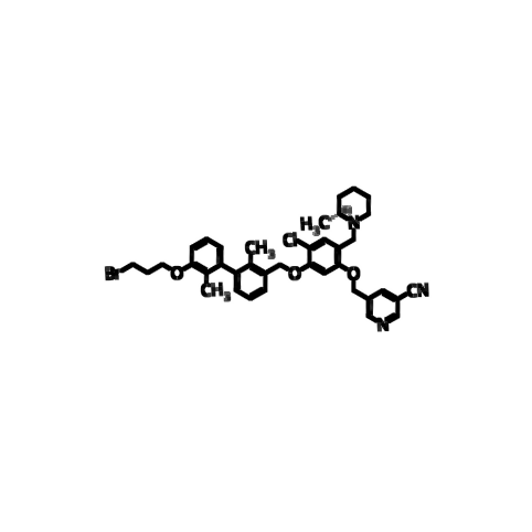 Cc1c(COc2cc(OCc3cncc(C#N)c3)c(CN3CCCC[C@H]3C)cc2Cl)cccc1-c1cccc(OCCCBr)c1C